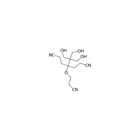 N#CCCOC(CCC#N)(CCC#N)C(CO)(CO)CO